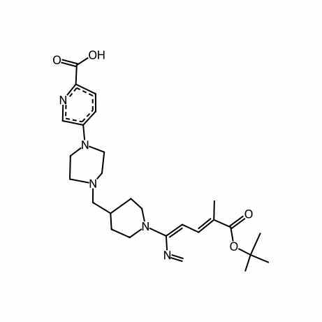 C=N/C(=C\C=C(/C)C(=O)OC(C)(C)C)N1CCC(CN2CCN(c3ccc(C(=O)O)nc3)CC2)CC1